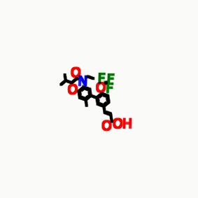 CCN1C(=O)C(C(C)C)Oc2cc(C)c(-c3cc(/C=C/C(=O)O)ccc3OC(F)(F)F)cc21